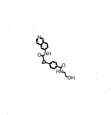 O=C(NCCO)c1ccc(C2CC2C(=O)Nc2ccc3cnccc3c2)cc1